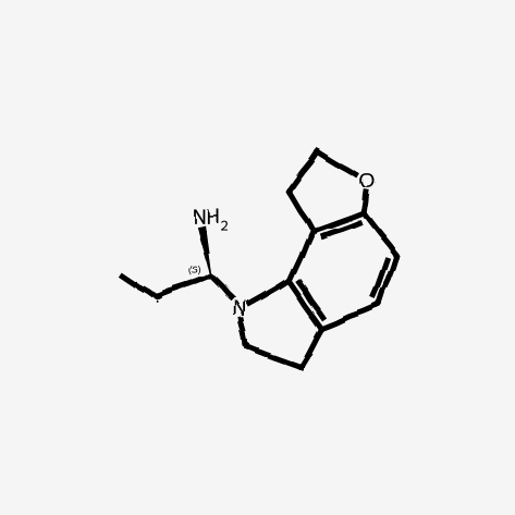 C[CH][C@@H](N)N1CCc2ccc3c(c21)CCO3